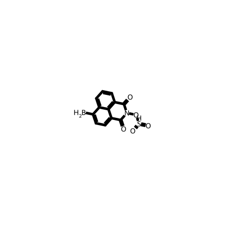 Bc1ccc2c3c(cccc13)C(=O)N(O[SH](=O)=O)C2=O